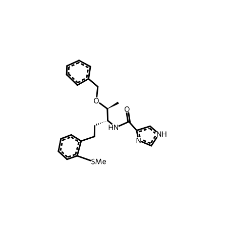 CSc1ccccc1CC[C@@H](NC(=O)c1c[nH]cn1)[C@H](C)OCc1ccccc1